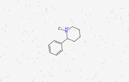 [CH2-][NH+]1CCCCC1c1ccccc1